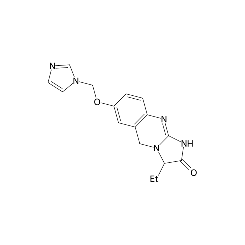 CCC1C(=O)NC2=Nc3ccc(OCn4ccnc4)cc3CN21